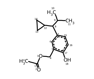 CC(=O)OCc1cc(C(C(C)C)C2CC2)ccc1O